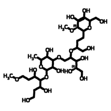 COCCC(O)C(OC1OC(C)C(O)C(OCC(OC(CO)CCC2OC(CO)C(O)=C(O)[C@@H]2OC)C(O)[C@H](O)CO)C1O)C(O)CCO